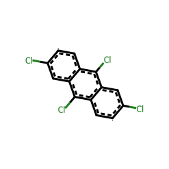 Clc1[c]cc2c(Cl)c3cc(Cl)[c]cc3c(Cl)c2c1